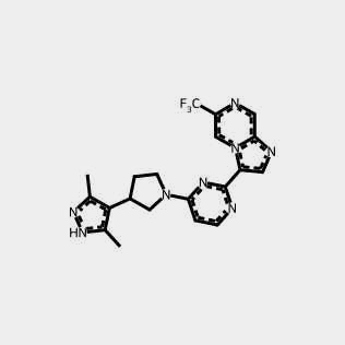 Cc1n[nH]c(C)c1C1CCN(c2ccnc(-c3cnc4cnc(C(F)(F)F)cn34)n2)C1